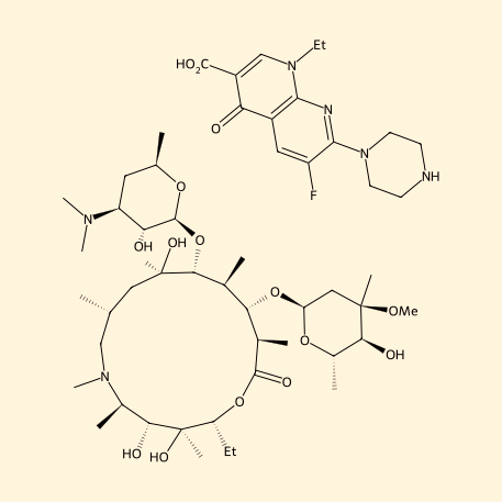 CC[C@H]1OC(=O)[C@H](C)[C@@H](O[C@H]2C[C@@](C)(OC)[C@@H](O)[C@H](C)O2)[C@H](C)[C@@H](O[C@@H]2O[C@H](C)C[C@H](N(C)C)[C@H]2O)[C@](C)(O)C[C@@H](C)CN(C)[C@H](C)[C@@H](O)[C@]1(C)O.CCn1cc(C(=O)O)c(=O)c2cc(F)c(N3CCNCC3)nc21